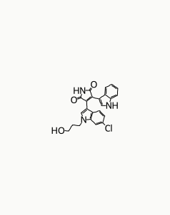 O=C1NC(=O)C(c2cn(CCCO)c3cc(Cl)ccc23)=C1c1c[nH]c2ccccc12